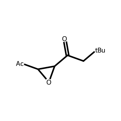 CC(=O)C1OC1C(=O)CC(C)(C)C